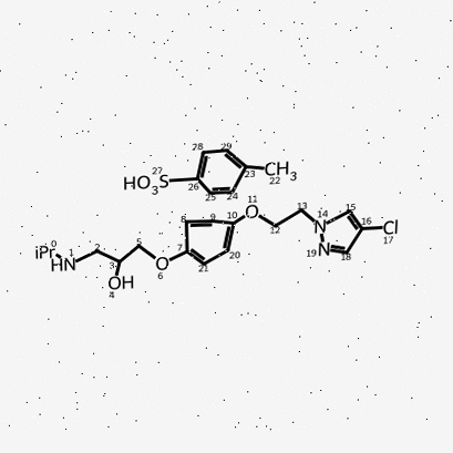 CC(C)NCC(O)COc1ccc(OCCn2cc(Cl)cn2)cc1.Cc1ccc(S(=O)(=O)O)cc1